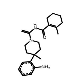 C=C(NC(=O)C1=C(C)CCCC1)N1CCC(C)(c2ccccc2N)CC1